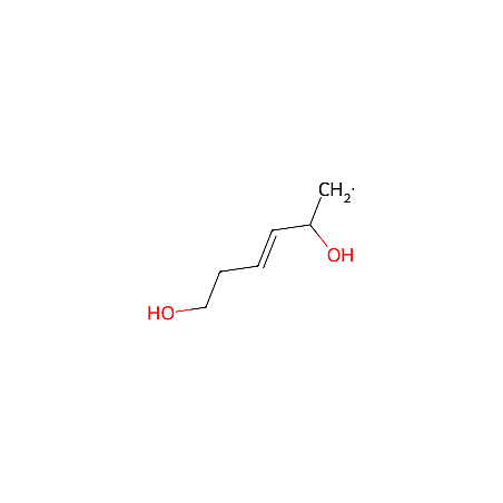 [CH2]C(O)C=CCCO